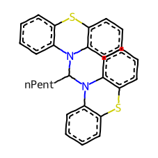 CCCCCC(N1c2ccccc2Sc2ccccc21)N1c2ccccc2Sc2ccccc21